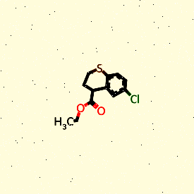 CCOC(=O)C1CCSc2ccc(Cl)cc21